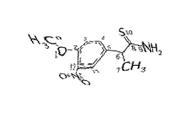 COc1ccc(C(C)C(N)=S)cc1[N+](=O)[O-]